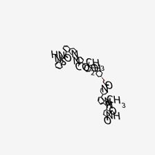 Cc1c(O[C@H]2CC[C@H](CCC(=O)N3CCC(c4cccc5c(C6CCC(=O)NC6=O)nn(C)c45)CC3)CC2)cccc1-c1ccc(N2CCc3cccc(C(=O)Nc4nc5ccccc5s4)c3C2)nc1C(=O)O